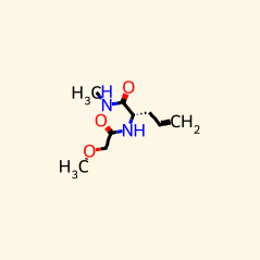 C=CC[C@H](NC(=O)COC)C(=O)NC